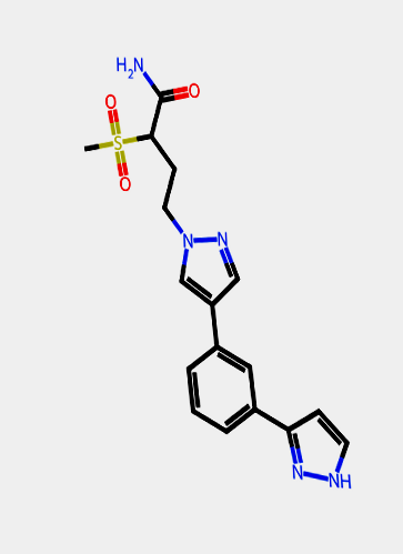 CS(=O)(=O)C(CCn1cc(-c2cccc(-c3cc[nH]n3)c2)cn1)C(N)=O